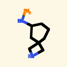 PNC1CCCC2(CNC2)C1